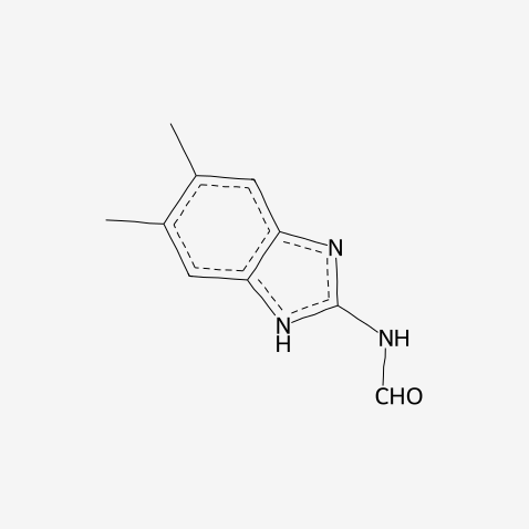 Cc1cc2nc(NC=O)[nH]c2cc1C